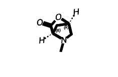 CN1C[C@H]2C[C@@H]1C(=O)O2